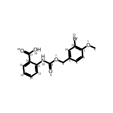 COc1ccc(COC(=O)Nc2ccccc2C(=O)O)cc1Br